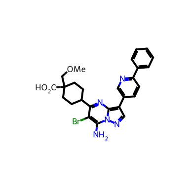 COCC1(C(=O)O)CCC(c2nc3c(-c4ccc(-c5ccccc5)nc4)cnn3c(N)c2Br)CC1